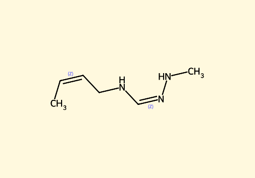 C/C=C\CN/C=N\NC